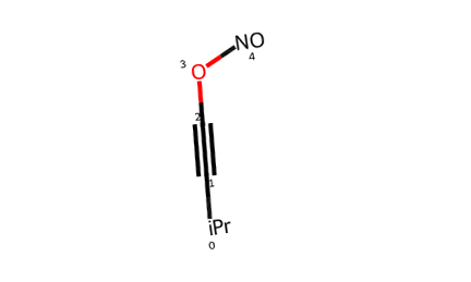 CC(C)C#CON=O